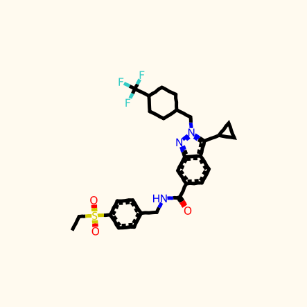 CCS(=O)(=O)c1ccc(CNC(=O)c2ccc3c(C4CC4)n(CC4CCC(C(F)(F)F)CC4)nc3c2)cc1